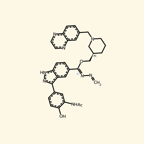 C=N/N=C(\OC[C@@H]1CCCN(Cc2ccc3nccnc3c2)C1)c1ccc2[nH]nc(-c3ccc(O)c(NC(C)=O)c3)c2c1